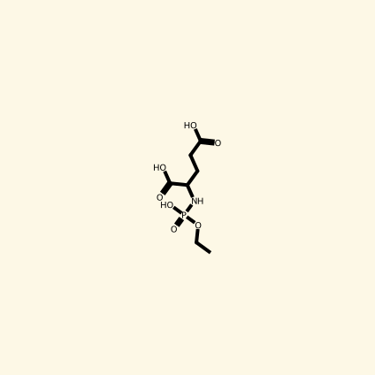 CCOP(=O)(O)NC(CCC(=O)O)C(=O)O